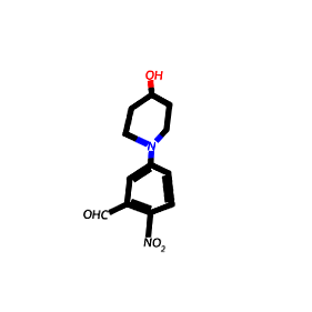 O=Cc1cc(N2CCC(O)CC2)ccc1[N+](=O)[O-]